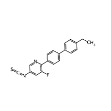 CCc1ccc(-c2ccc(-c3ncc(N=C=S)cc3F)cc2)cc1